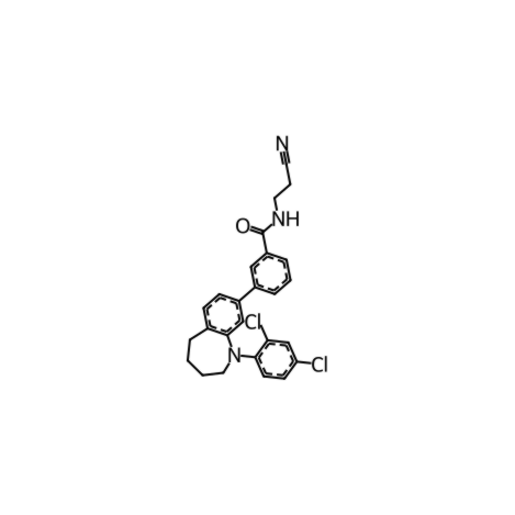 N#CCCNC(=O)c1cccc(-c2ccc3c(c2)N(c2ccc(Cl)cc2Cl)CCCC3)c1